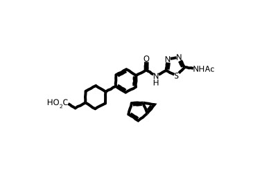 CC(=O)Nc1nnc(NC(=O)c2ccc(C3CCC(CC(=O)O)CC3)cc2)s1.c1cc2cc-2c1